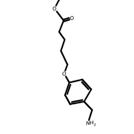 COC(=O)CCCCOc1ccc(CN)cc1